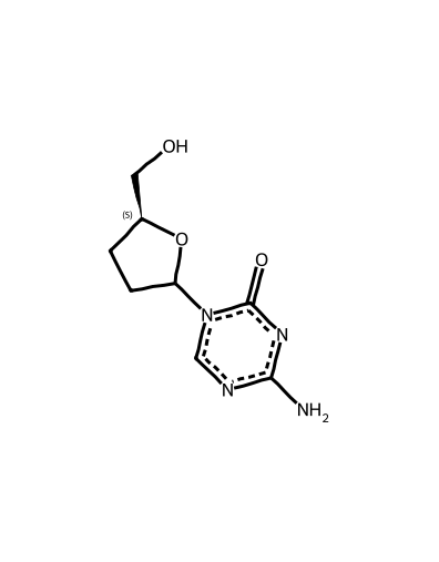 Nc1ncn(C2CC[C@@H](CO)O2)c(=O)n1